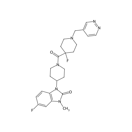 Cn1c(=O)n(C2CCN(C(=O)C3(F)CCN(Cc4ccnnc4)CC3)CC2)c2ccc(F)cc21